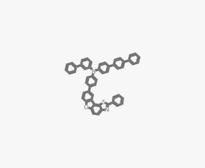 c1ccc(-c2ccc(-c3ccc(N(c4ccc(-c5ccc6oc7ccc8nc(-c9ccccc9)sc8c7c6c5)cc4)c4cccc(-c5ccccc5)c4)cc3)cc2)cc1